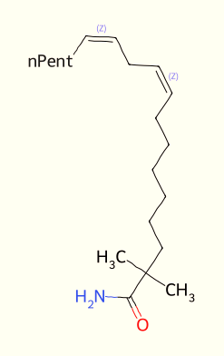 CCCCC/C=C\C/C=C\CCCCCCC(C)(C)C(N)=O